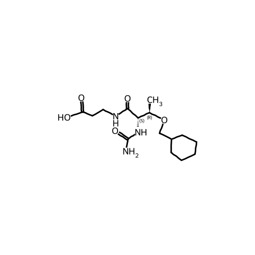 C[C@@H](OCC1CCCCC1)[C@H](NC(N)=O)C(=O)NCCC(=O)O